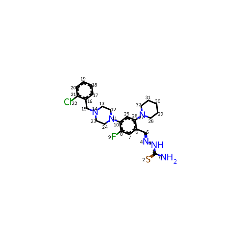 NC(=S)N/N=C/c1cc(F)c(N2CCN(Cc3ccccc3Cl)CC2)cc1N1CCCCC1